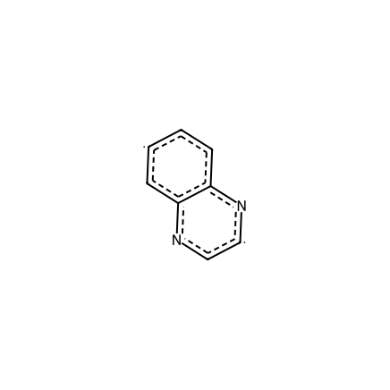 [c]1ccc2n[c]cnc2c1